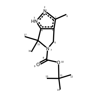 Cc1n[nH]c2c1CN(C(=O)OC(C)(C)C)C2(C)C